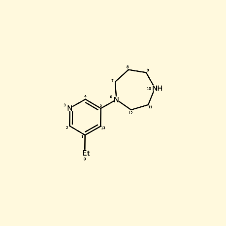 CCc1cncc(N2CCCNCC2)c1